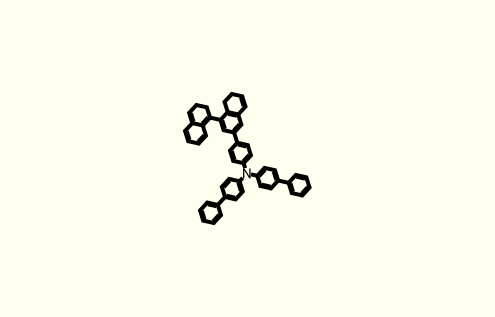 C1=Cc2cc(-c3ccc(N(c4ccc(-c5ccccc5)cc4)c4ccc(-c5ccccc5)cc4)cc3)cc(C3=c4ccccc4=CCC3)c2CC1